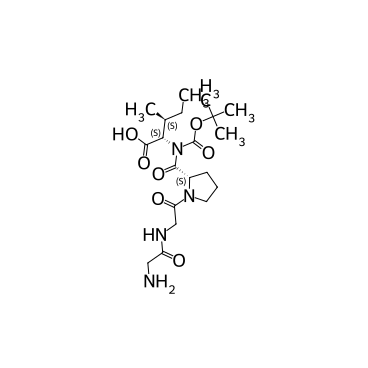 CC[C@H](C)[C@@H](C(=O)O)N(C(=O)OC(C)(C)C)C(=O)[C@@H]1CCCN1C(=O)CNC(=O)CN